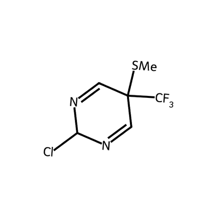 CSC1(C(F)(F)F)C=NC(Cl)N=C1